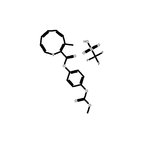 COC(=O)Oc1ccc(OC(=O)c2sccccccc2C)cc1.O=S(=O)(O)C(F)(F)F